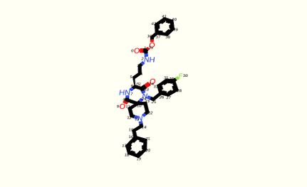 O=C(NCCC[C@@H]1NC(=O)C2(CCN(CCc3ccccc3)CC2)N(Cc2ccc(F)cc2)C1=O)OCc1ccccc1